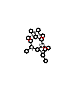 c1ccc(-c2ccc3c(c2)c2ccccc2n3-c2ccc(-c3nc(-c4ccccc4)cc(-c4ccccc4)n3)cc2-c2nc(-c3ccccc3)nc(-c3cccc(-c4ccc5c6c4N(c4ccccc4)c4ccccc4B6c4ccccc4N5c4ccccc4)c3)n2)cc1